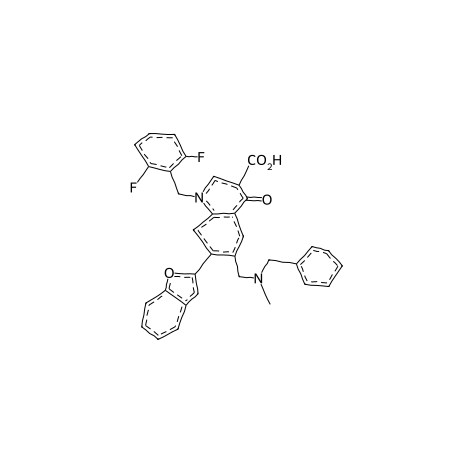 CN(Cc1ccccc1)Cc1cc2c(=O)c(C(=O)O)cn(Cc3c(F)cccc3F)c2cc1-c1cc2ccccc2o1